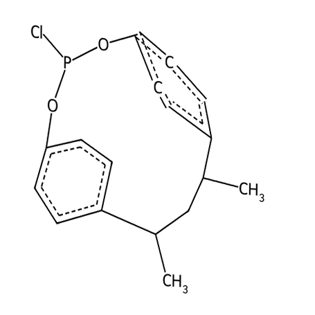 CC1CC(C)c2ccc(cc2)OP(Cl)Oc2ccc1cc2